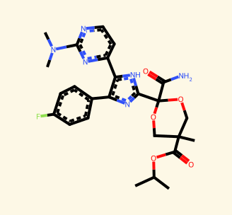 CC(C)OC(=O)C1(C)COC(C(N)=O)(c2nc(-c3ccc(F)cc3)c(-c3ccnc(N(C)C)n3)[nH]2)OC1